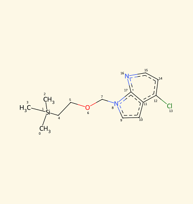 C[Si](C)(C)CCOCn1c[c]c2c(Cl)ccnc21